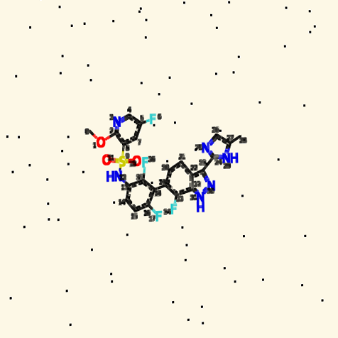 COc1ncc(F)cc1S(=O)(=O)Nc1ccc(F)c(-c2ccc3c(-c4ncc(C)[nH]4)n[nH]c3c2F)c1F